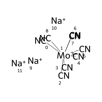 N#[C][Mo-3]([C]#N)([C]#N)([C]#N)([C]#N)([C]#N)([C]#N)[C]#N.[Na+].[Na+].[Na+]